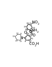 NS(=O)(=O)c1cc(C(=O)O)cc(N2CCCCC2)c1Oc1ccc([N+](=O)[O-])cc1